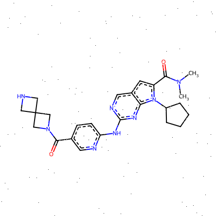 CN(C)C(=O)c1cc2cnc(Nc3ccc(C(=O)N4CC5(CNC5)C4)cn3)nc2n1C1CCCC1